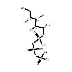 O=C[C@H](OP(=O)(O)OP(=O)(O)OP(=O)(O)O)[C@@H](O)[C@@H](O)[C@H](O)CO